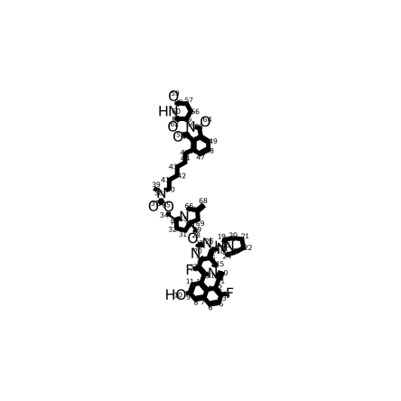 C#Cc1c(F)ccc2cc(O)cc(-c3ncc4c(N5CC6CCC(C5)N6)nc(OC[C@@]56CC[C@@H](COC(=O)N(C)CCCCCCc7cccc8c7C(=O)N(C7CCC(=O)NC7=O)C8=O)N5CC(=C)C6)nc4c3F)c12